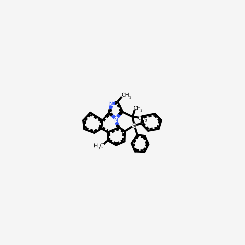 Cc1nc2c3ccccc3c3c(C)ccc4c3n2c1C(C)(C)[Si]4(c1ccccc1)c1ccccc1